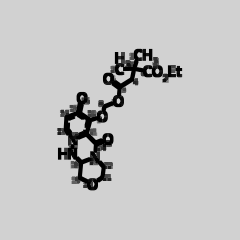 CCOC(=O)C(C)(C)CC(=O)OCOc1c2n(ccc1=O)NC1COCCN1C2=O